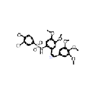 COc1cc(/C=C\c2cc(OC)c(OC)c(OC)c2)c(NS(=O)(=O)c2ccc(Cl)c(Cl)c2)cc1OC